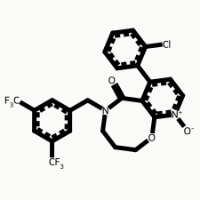 O=C1c2c(-c3ccccc3Cl)cc[n+]([O-])c2OCCCN1Cc1cc(C(F)(F)F)cc(C(F)(F)F)c1